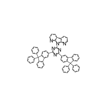 c1ccc(C2(c3ccccc3)c3ccccc3-c3cc(-c4nc(-c5ccc6c(c5)-c5ccccc5C6(c5ccccc5)c5ccccc5)nc(-n5c6ncccc6c6cccnc65)n4)ccc32)cc1